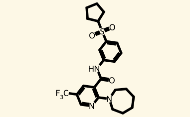 O=C(Nc1cccc(S(=O)(=O)C2CCCC2)c1)c1cc(C(F)(F)F)cnc1N1CCCCCC1